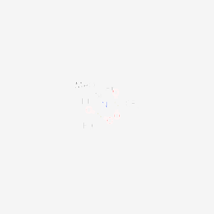 CC[Si](CC)(OC)N(S(=O)(=O)C(F)(F)F)S(=O)(=O)C(F)(F)F